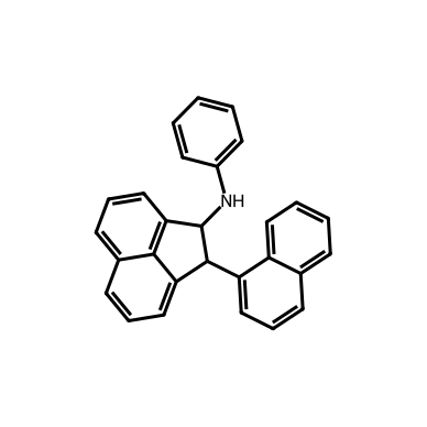 c1ccc(NC2c3cccc4cccc(c34)C2c2cccc3ccccc23)cc1